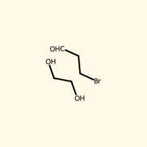 O=CCCBr.OCCO